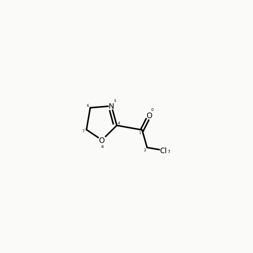 O=C(CCl)C1=NCCO1